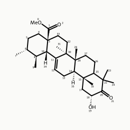 COC(=O)[C@]12CC[C@@H](C)[C@H](C)[C@H]1C1=CC[C@@H]3[C@@]4(C)C[C@@H](O)C(=O)C(C)(C)C4CC[C@@]3(C)[C@]1(C)CC2